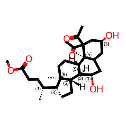 COC(=O)CC[C@@H](C)[C@H]1CC[C@H]2[C@@H]3[C@H](O)CC4C[C@H](O)CC(C(C)=O)(C(C)=O)[C@]4(C)[C@H]3CC[C@]12C